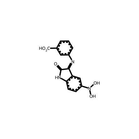 O=C1Nc2ccc(N(O)O)cc2/C1=N/c1cccc(C(=O)O)c1